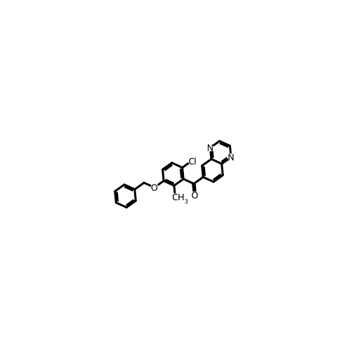 Cc1c(OCc2ccccc2)ccc(Cl)c1C(=O)c1ccc2nccnc2c1